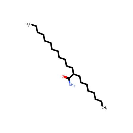 CCCCCCCCCCCCC(CCCCCCCC)C(N)=O